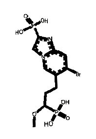 COC(CCc1cn2cc(P(=O)(O)O)nc2cc1Br)P(=O)(O)O